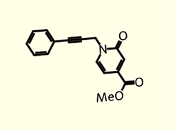 COC(=O)c1ccn(CC#Cc2ccccc2)c(=O)c1